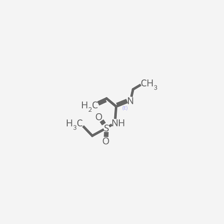 C=C/C(=N\CC)NS(=O)(=O)CC